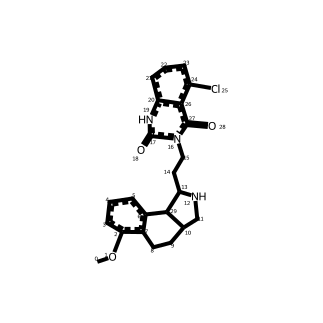 COc1cccc2c1CCC1CNC(CCn3c(=O)[nH]c4cccc(Cl)c4c3=O)C21